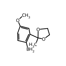 Bc1ccc(OC)cc1C1(C)OCCO1